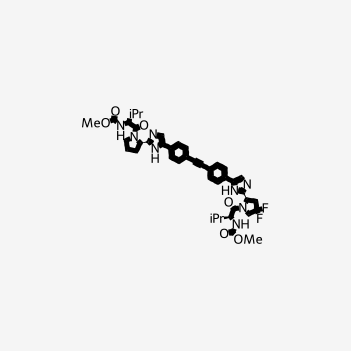 COC(=O)NC(C(=O)N1CCC[C@H]1c1ncc(-c2ccc(C#Cc3ccc(-c4cnc([C@@H]5CC(F)(F)CN5C(=O)[C@@H](NC(=O)OC)C(C)C)[nH]4)cc3)cc2)[nH]1)C(C)C